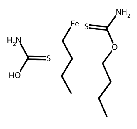 CCCCOC(N)=S.CCC[CH2][Fe].NC(O)=S